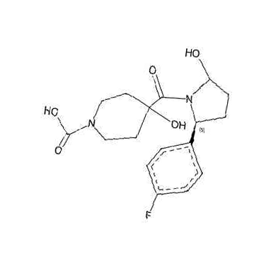 O=C(O)N1CCC(O)(C(=O)N2C(O)CC[C@H]2c2ccc(F)cc2)CC1